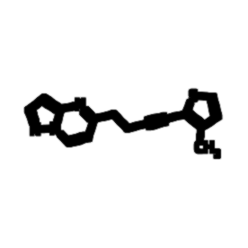 Cc1ccsc1C#CCCc1ccn2nccc2n1